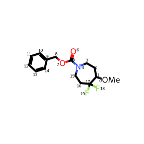 COC1CCN(C(=O)OCc2ccccc2)CCC1(F)F